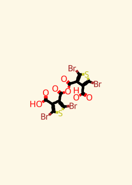 O=C(O)c1c(Br)sc(Br)c1C(=O)OC(=O)c1c(Br)sc(Br)c1C(=O)O